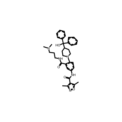 Cc1noc(C)c1C(=O)Nc1ccc(N2CCC(C(O)(c3ccccc3)c3ccccc3)CC2)c(C(=O)NCCCN(C)C)c1